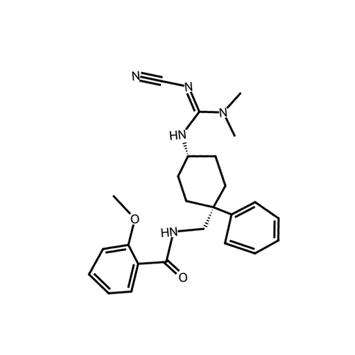 COc1ccccc1C(=O)NC[C@]1(c2ccccc2)CC[C@H](N/C(=N\C#N)N(C)C)CC1